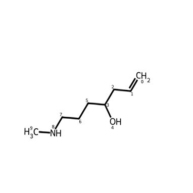 C=CCC(O)CCCNC